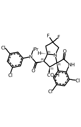 CC(C)N(C(=O)[C@H]1[C@H]2CC(F)(F)CN2[C@]2(C(=O)Nc3c(Cl)cc(Cl)cc32)[C@H]1C(=O)O)c1cc(Cl)cc(Cl)c1